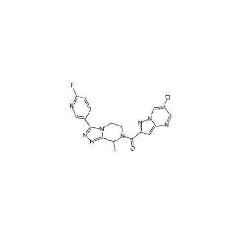 CC1c2nnc(-c3ccc(F)nc3)n2CCN1C(=O)c1cc2ncc(Cl)cn2n1